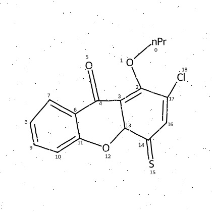 CCCOC1=C2C(=O)c3ccccc3OC2C(=S)C=C1Cl